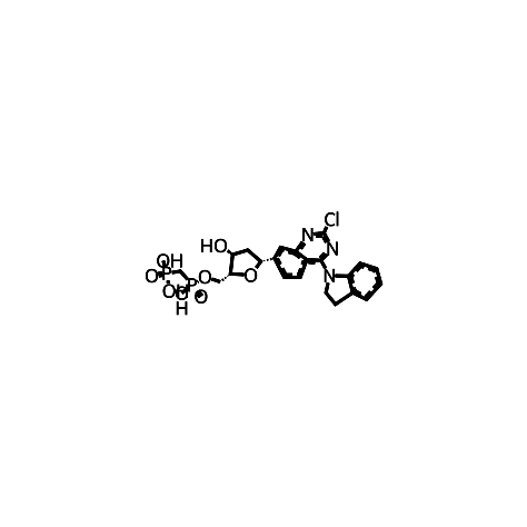 O=P(O)(O)CP(=O)(O)OC[C@H]1O[C@@H](c2ccc3c(N4CCc5ccccc54)nc(Cl)nc3c2)C[C@@H]1O